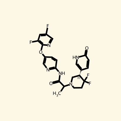 CC(C(=O)Nc1ccc(Oc2ncc(F)cc2F)cn1)N1CCC(F)(F)[C@@H](c2ccc(=O)[nH]c2)C1